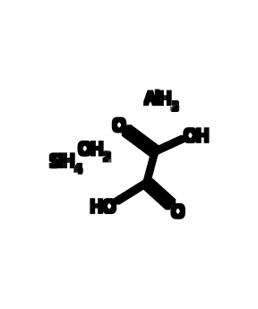 O.O=C(O)C(=O)O.[AlH3].[SiH4]